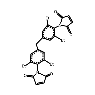 CCc1cc(Cc2cc(CC)c(N3C(=O)C=CC3=O)c(CC)c2)cc(CC)c1N1C(=O)C=CC1=O